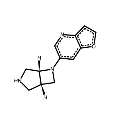 c1cc2ncc(N3C[C@@H]4CNC[C@@H]43)cc2o1